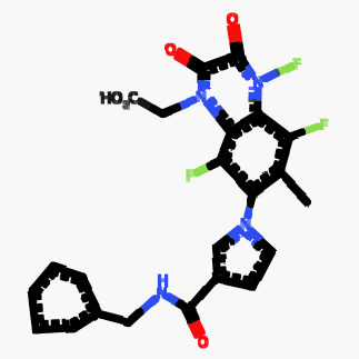 Cc1c(-n2ccc(C(=O)NCc3ccccc3)c2)c(F)c2c(c1F)n(F)c(=O)c(=O)n2CC(=O)O